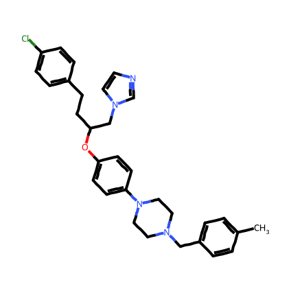 Cc1ccc(CN2CCN(c3ccc(OC(CCc4ccc(Cl)cc4)Cn4ccnc4)cc3)CC2)cc1